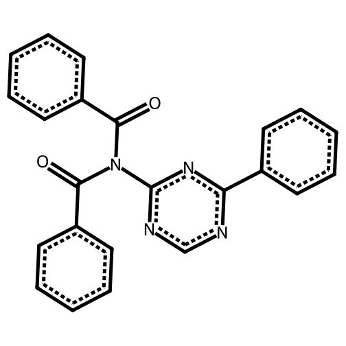 O=C(c1ccccc1)N(C(=O)c1ccccc1)c1ncnc(-c2ccccc2)n1